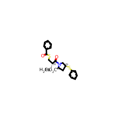 C[C@H](CSC(=O)c1ccccc1)C(=O)N1C[C@@H](Sc2ccccc2)C[C@H]1C(=O)O.[CaH2]